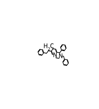 C=C1C=C2C(c3ccccc3)N(Cc3ccccc3)CCN2C=C1CCc1ccccc1